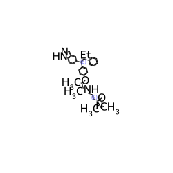 CC/C(=C(/c1ccc(OC(C)C(C)NC/C=C/C(=O)N(C)C)cc1)c1ccc2[nH]ncc2c1)c1ccccc1